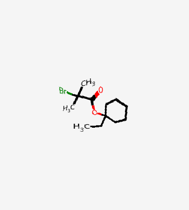 CCC1(OC(=O)C(C)(C)Br)CCCCC1